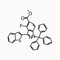 COC(=O)c1ccc2c(c(-c3cc4ccccc4s3)nn2C(c2ccccc2)(c2ccccc2)c2ccccc2)c1F